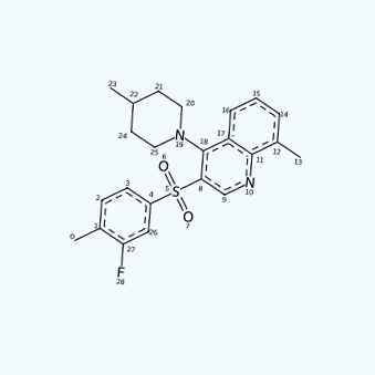 Cc1ccc(S(=O)(=O)c2cnc3c(C)cccc3c2N2CCC(C)CC2)cc1F